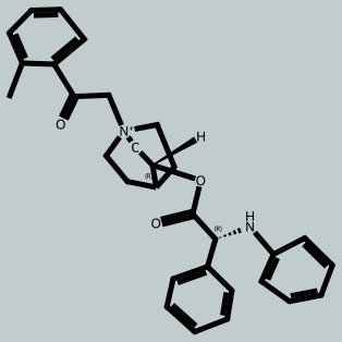 Cc1ccccc1C(=O)C[N+]12CCC(CC1)[C@@H](OC(=O)[C@H](Nc1ccccc1)c1ccccc1)C2